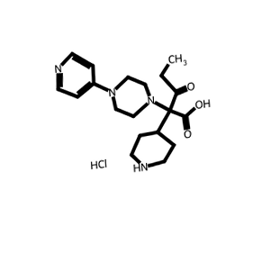 CCC(=O)C(C(=O)O)(C1CCNCC1)N1CCN(c2ccncc2)CC1.Cl